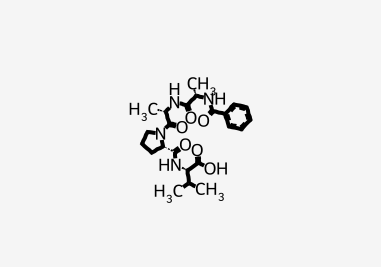 CC(C)[C@H](NC(=O)[C@@H]1CCCN1C(=O)[C@H](C)NC(=O)[C@H](C)NC(=O)c1ccccc1)C(=O)O